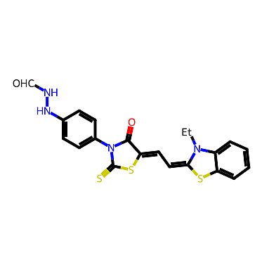 CCN1C(=CC=C2SC(=S)N(c3ccc(NNC=O)cc3)C2=O)Sc2ccccc21